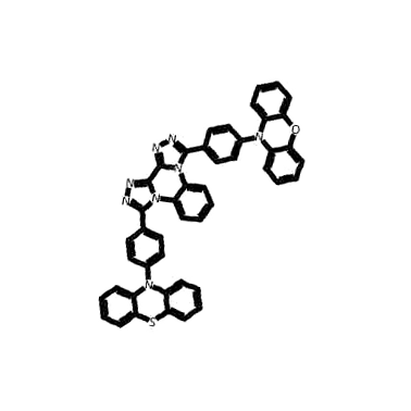 c1ccc2c(c1)Oc1ccccc1N2c1ccc(-c2nnc3c4nnc(-c5ccc(N6c7ccccc7Sc7ccccc76)cc5)n4c4ccccc4n23)cc1